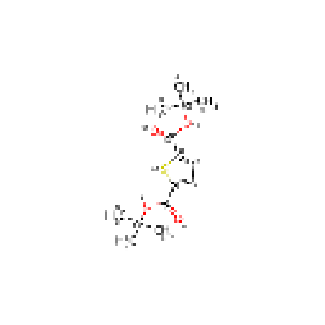 CC(C)(C)OC(=O)c1ccc(C(=O)OC(C)(C)C)s1